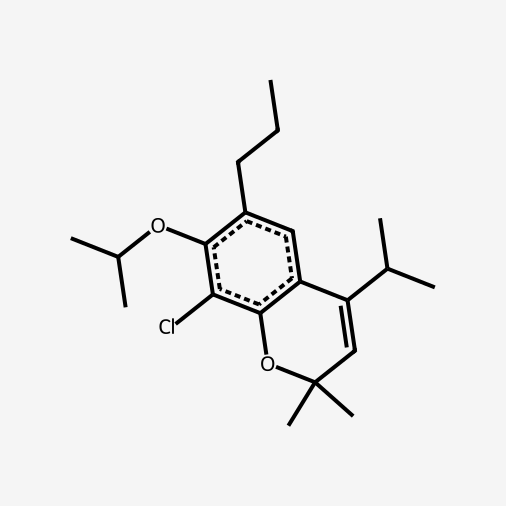 CCCc1cc2c(c(Cl)c1OC(C)C)OC(C)(C)C=C2C(C)C